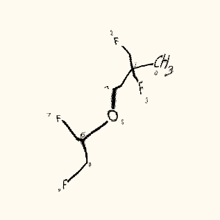 CC(F)(F)COC(F)CF